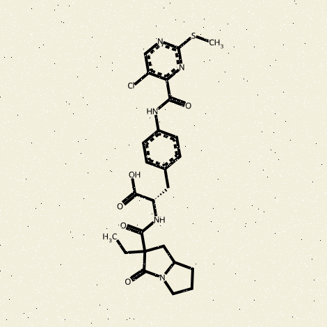 CCC1(C(=O)N[C@@H](Cc2ccc(NC(=O)c3nc(SC)ncc3Cl)cc2)C(=O)O)CC2CCCN2C1=O